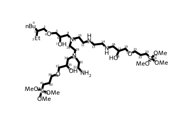 CCCCC(CC)COCC(O)CN(CCNCCNCC(O)COCCC[Si](OC)(OC)OC)CCN(CCN)CC(O)COCCC[Si](OC)(OC)OC